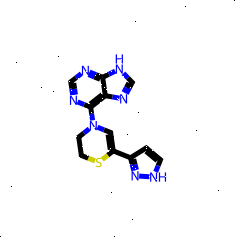 C1=C(c2cc[nH]n2)SCCN1c1ncnc2[nH]cnc12